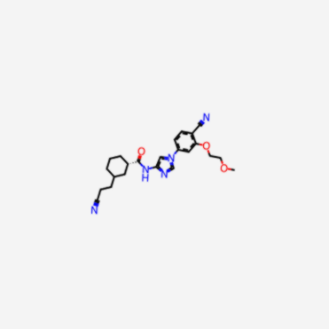 COCCOc1cc(-n2cnc(NC(=O)[C@H]3CCCC(CCC#N)C3)c2)ccc1C#N